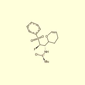 CC(C)(C)[S@@+]([O-])N[C@@H](C1CCC=CO1)[C@@H](F)S(=O)(=O)c1ccccc1